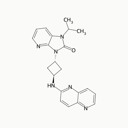 CC(C)n1c(=O)n([C@H]2C[C@H](Nc3ccc4ncccc4n3)C2)c2ncccc21